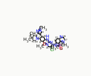 CCC1(C)CCN(c2cc(OC)c(Nc3ncc(Cl)c(Nc4ccc5nccnc5c4P(C)(C)=O)n3)cc2-c2cnn(C)c2)CC1